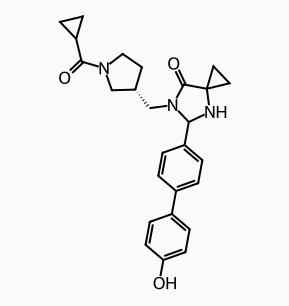 O=C(C1CC1)N1CC[C@H](CN2C(=O)C3(CC3)NC2c2ccc(-c3ccc(O)cc3)cc2)C1